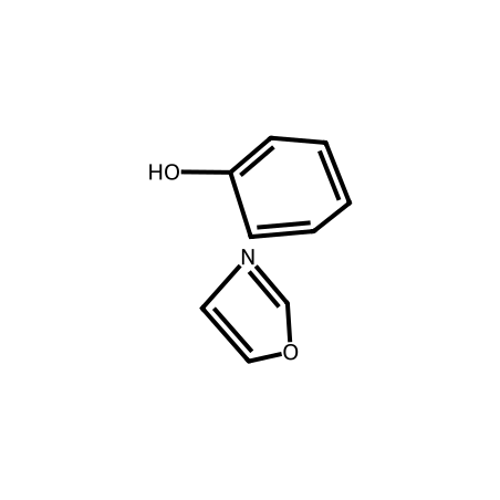 Oc1ccccc1.c1cocn1